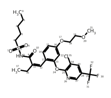 CCCCCS(=O)(=O)NC(=O)C(=Cc1ccc(OCCOC)cc1Oc1ncc(C(F)(F)F)cc1Cl)CC